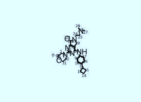 C[C@@H]1CN(c2nc(Nc3ccc(C4CCC4)cc3)c3c(n2)C(=O)N(CCN(C)C)C3)CCO1